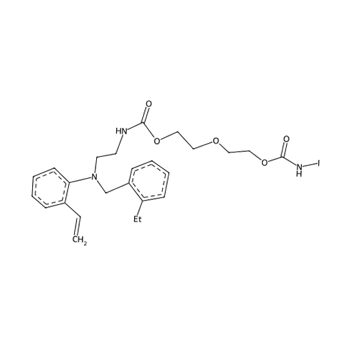 C=Cc1ccccc1N(CCNC(=O)OCCOCCOC(=O)NI)Cc1ccccc1CC